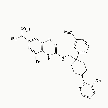 COc1cccc(C2(CNC(=O)Nc3c(C(C)C)cc(N(C(=O)O)C(C)(C)C)cc3C(C)C)CCN(c3ncccc3O)CC2)c1